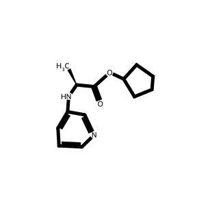 C[C@H](Nc1cccnc1)C(=O)OC1CCCC1